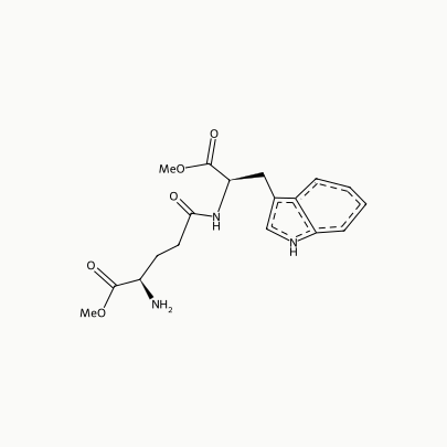 COC(=O)[C@H](N)CCC(=O)N[C@H](Cc1c[nH]c2ccccc12)C(=O)OC